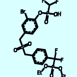 CCOP(=O)(OCC)C(F)(F)c1ccc(CS(=O)(=O)Cc2ccc(OP(=O)(O)C(F)F)c(Br)c2)cc1